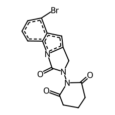 O=C1CCCC(=O)N1N1Cc2cc3c(Br)cccc3n2C1=O